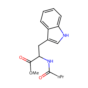 CCCC(=O)NC(Cc1c[nH]c2ccccc12)C(=O)OC